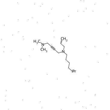 C=CCN(CC#CCN(C)C)CCCCC(C)C